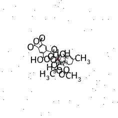 CC(=O)OC[C@]12CCC(C)=C[C@H]1O[C@@H]1[C@H](OC(=O)c3cc4c(cc3C(=O)O)C(=O)OC4=O)[C@@H](OC(C)=O)[C@@]2(C)C12CO2